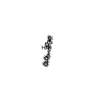 O=C(Cc1ccc2[nH]c(CCCCOc3cccc(CN4CCCCC4)c3)nc2c1)N1CCCC1